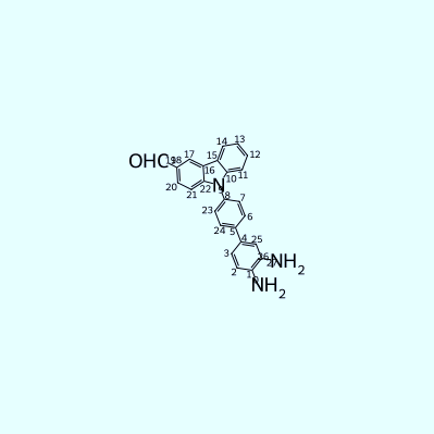 Nc1ccc(-c2ccc(-n3c4ccccc4c4cc(C=O)ccc43)cc2)cc1N